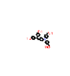 OCc1ccc(N(c2ccc(C=C(c3ccc(O)cc3)c3ccc(O)cc3)cc2)c2ccc(CO)cc2)cc1